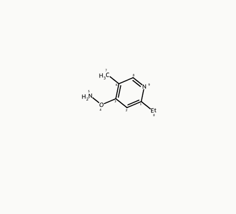 CCc1cc(ON)c(C)cn1